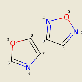 [c]1cnon1.[c]1ncco1